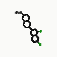 CCCCCC1CCC2CC(c3cc(F)c4cc(Cl)ccc4c3)CCC2C1